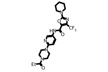 CCC(=O)N1CCN(c2ccc(NC(=O)c3oc(N4CCCCC4)nc3C(F)(F)F)cn2)CC1